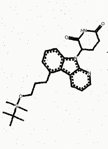 CC(C)(C)[Si](C)(C)OCCCc1cccc2c1c1cccnc1n2C1CCC(=O)NC1=O